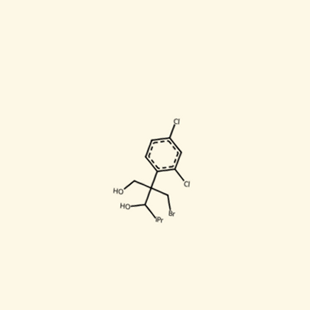 CC(C)C(O)C(CO)(CBr)c1ccc(Cl)cc1Cl